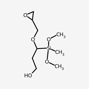 CO[Si](C)(OC)C(CCO)OCC1CO1